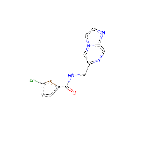 O=C(NCc1cn2ccnc2cn1)c1ccc(Br)s1